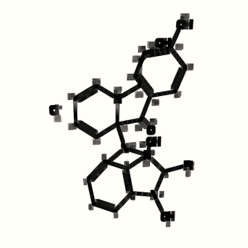 CCC1N(O)c2ccc3cc2[N+]1(O)N3C1(C(=O)c2ccc(O)cc2)C=CC=CN1CCO.[Cl-]